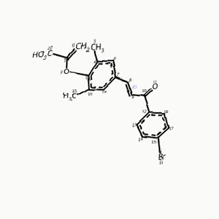 C=C(Oc1c(C)cc(/C=C/C(=O)c2ccc(Br)cc2)cc1C)C(=O)O